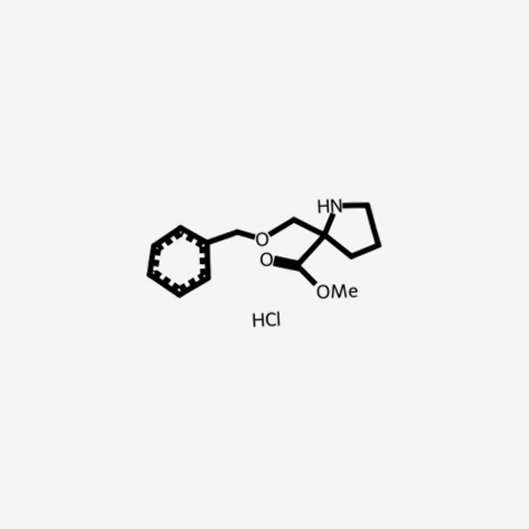 COC(=O)C1(COCc2ccccc2)CCCN1.Cl